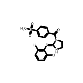 CS(=O)(=O)c1ccc(C(=O)N2CCN/C2=N\c2c(Cl)cccc2Cl)cc1